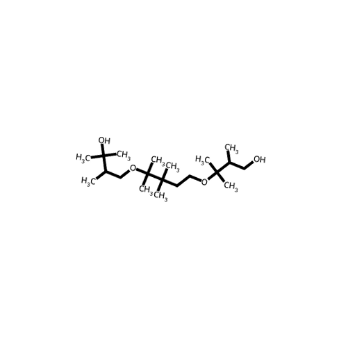 CC(COC(C)(C)C(C)(C)CCOC(C)(C)C(C)CO)C(C)(C)O